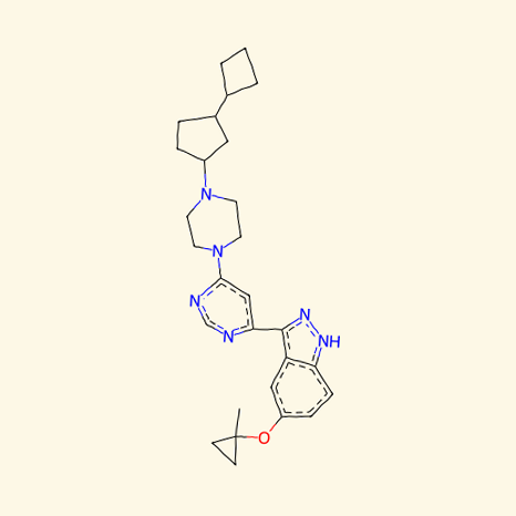 CC1(Oc2ccc3[nH]nc(-c4cc(N5CCN(C6CCC(C7CCC7)C6)CC5)ncn4)c3c2)CC1